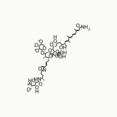 COC[C@@H]([C@H](O)[C@H](O)C(=O)N[C@H](C)C[C@H](C)c1nc(/C=C/C[C@@H]2O[C@@]3(C[C@H](O[C@@H]4O[C@@H](C)[C@H](OC)[C@@H](OC)[C@H]4OC)[C@@H]2C)O[C@H]([C@H](C[C@H](O)[C@H](C)[C@H](O)[C@H](C)/C=C(C)/C(C)=C/C=C/C(C)=C/C(N)=O)OC)[C@H](OP(=O)(O)O)C3(C)C)co1)N(C)C